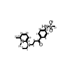 CCN(CCC(=O)c1ccc(NS(C)(=O)=O)cc1)C1=CC=CC(C)N1C